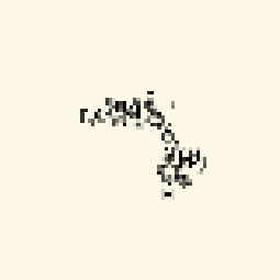 CC(COCc1cc2n(n1)C(C)CN(c1ncc(C(F)(F)F)cn1)C2)Nc1cn[nH]c(=O)c1C(F)(F)F